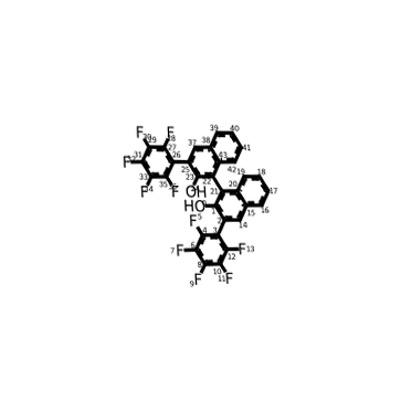 Oc1c(-c2c(F)c(F)c(F)c(F)c2F)cc2ccccc2c1-c1c(O)c(-c2c(F)c(F)c(F)c(F)c2F)cc2ccccc12